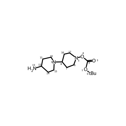 CC(C)(C)OC(=O)ON1CCC(N2CCC(N)CC2)CC1